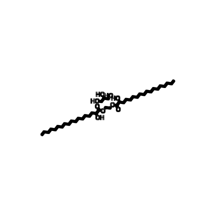 CCCCCCCCCCCCCCCCC(O)C(=O)OCCOC(=O)C(O)CCCCCCCCCCCCCCCC.OCC(O)CO